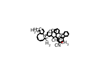 C#C/C(=C\C(=C/C)N1C(=C)/C=C\C=C/C/C(C=C)=C1/C=C\C)C(=C)/C(=C(C#N)\C=C(/C)C#N)c1ccccc1-n1c2c(c3ccccc31)C=CCC2